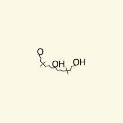 CC(C)(CCC=O)CCCC(O)CCCC(C)(C)CCCO